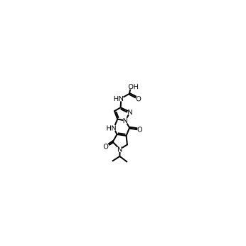 CC(C)N1Cc2c([nH]c3cc(NC(=O)O)nn3c2=O)C1=O